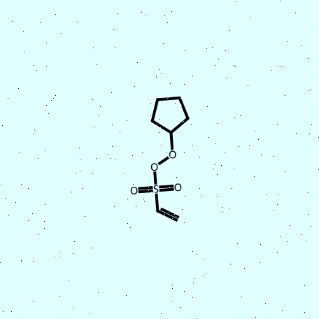 C=CS(=O)(=O)OOC1CCCC1